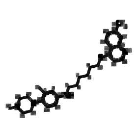 Cc1cc(NCCCCCCSc2ccnc3cc(C(F)(F)F)ccc23)ccc1N1CCN(C)CC1